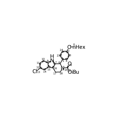 CCCCCCOc1ccc(C2c3[nH]c4ccc(Cl)cc4c3CCN2C(=O)OCC(C)C)cc1